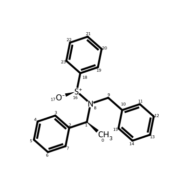 C[C@@H](c1ccccc1)N(Cc1ccccc1)[S@@+]([O-])c1ccccc1